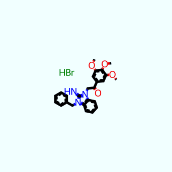 Br.COc1cc(C(=O)Cn2c(=N)n(Cc3ccccc3)c3ccccc32)cc(OC)c1OC